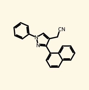 N#CCc1cn(-c2ccccc2)nc1-c1cccc2ccccc12